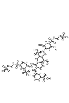 COc1cc(/N=N/c2c(S(=O)(=O)O)cc3c(/N=N/c4ccc(S(=O)(=O)CCOS(=O)(=O)O)cc4S(=O)(=O)O)c(Nc4cccc(S(=O)(=O)O)c4)ccc3c2OC)c(O)cc1S(=O)(=O)CCOS(=O)(=O)O